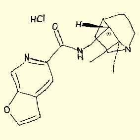 CC1(C)[C@H](NC(=O)c2cc3ccoc3cn2)C2CCN1CC2.Cl